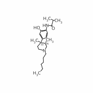 CCCCCCN1CC[C@](C)(c2ccc(NC(=O)C(C)C)c(O)c2)[C@@H](C)C1